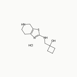 Cl.OC1(CNc2nc3c(s2)CNCC3)CCC1